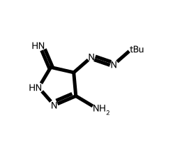 CC(C)(C)N=NC1C(=N)NN=C1N